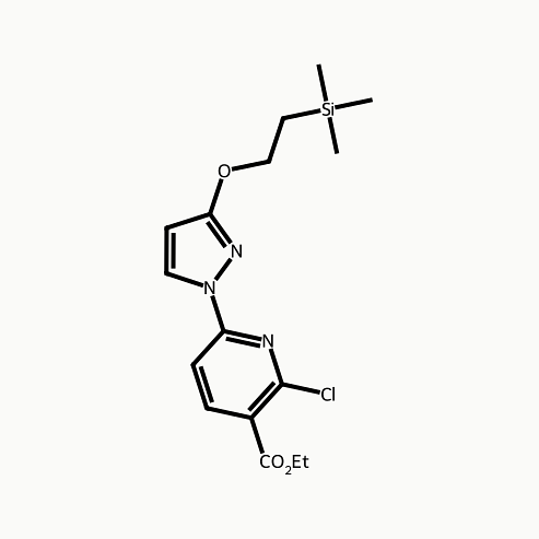 CCOC(=O)c1ccc(-n2ccc(OCC[Si](C)(C)C)n2)nc1Cl